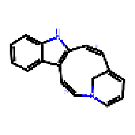 C1=CN2/C=C\c3c([nH]c4ccccc34)/C=C\C(=C1)C2